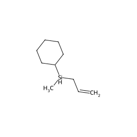 C=CC[SiH](C)C1CCCCC1